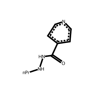 CCCNNC(=O)c1ccncc1